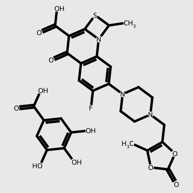 Cc1oc(=O)oc1CN1CCN(c2cc3c(cc2F)c(=O)c(C(=O)O)c2n3C(C)S2)CC1.O=C(O)c1cc(O)c(O)c(O)c1